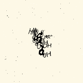 O=C([O-])CC(Sc1nnn[nH]1)C1=C(C(=O)[O-])N2C(=O)C(NC(=O)C(O)c3cccc(O)c3)[C@@H]2SC1.[K+].[K+]